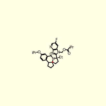 CC[C@@]1(c2nc3ncc(F)cc3n2COC(=O)C(C)C)CCCN1C(=O)c1cc(OC(C)C)ccc1C1CCCC1